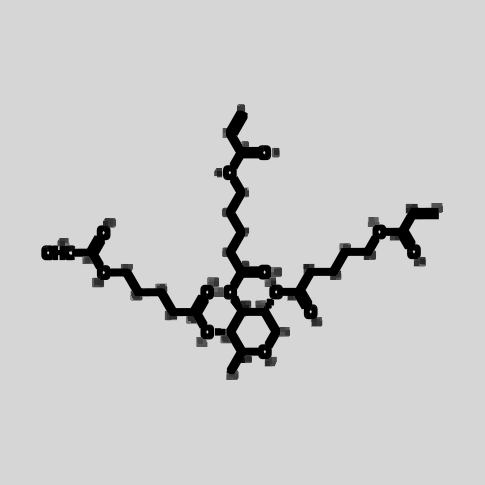 C=CC(=O)OCCCCC(=O)O[C@H]1[C@H](OC(=O)CCCCOC(=O)C=C)COC(C)[C@@H]1OC(=O)CCCCOC(=O)C=O